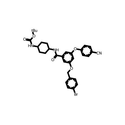 CC(C)(C)OC(=O)NC1CCC(NC(=O)c2cc(OCc3ccc(Br)cc3)cc(Oc3ccc(C#N)cc3)c2)CC1